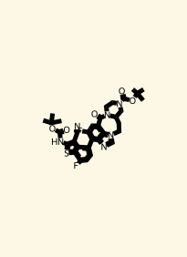 CC(C)(C)OC(=O)Nc1sc2c(F)ccc(-c3c(F)cc4c5c3ncn5CCC3CN(C(=O)OC(C)(C)C)CCN3C4=O)c2c1C#N